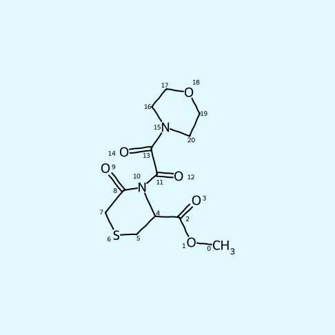 COC(=O)C1CSCC(=O)N1C(=O)C(=O)N1CCOCC1